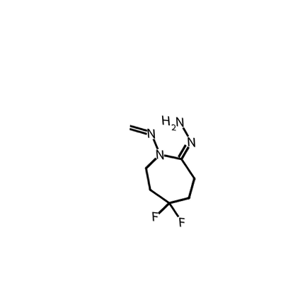 C=NN1CCC(F)(F)CC/C1=N/N